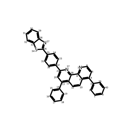 c1ccc(-c2ccnc3c2ccc2c(-c4ccccc4)cc(-c4ccc(-c5nc6ccccc6s5)cc4)nc23)cc1